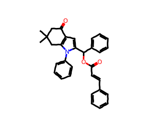 CC1(C)CC(=O)c2cc(C(OC(=O)C=Cc3ccccc3)c3ccccc3)n(-c3ccccc3)c2C1